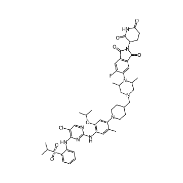 Cc1cc(Nc2ncc(Cl)c(Nc3ccccc3S(=O)(=O)C(C)C)n2)c(OC(C)C)cc1N1CCC(CN2CC(C)N(c3cc4c(cc3F)C(=O)N(C3CCC(=O)NC3=O)C4=O)C(C)C2)CC1